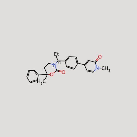 CC[C@@H](c1ccc(-c2ccn(C)c(=O)c2)cc1)N1CCC(C)(c2ccccc2)OC1=O